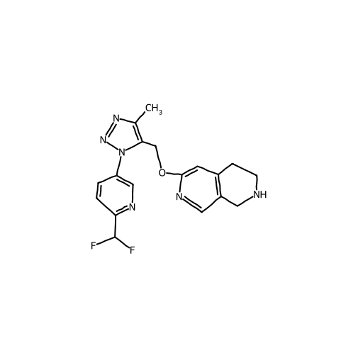 Cc1nnn(-c2ccc(C(F)F)nc2)c1COc1cc2c(cn1)CNCC2